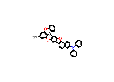 CC(C)(C)c1cc2c3c(c1)Oc1cc4c(cc1B3c1ccccc1O2)oc1c2ccc(N(c3ccccc3)c3ccccc3)cc2ccc41